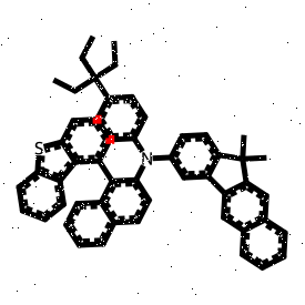 CCC(CC)(CC)c1ccc(N(c2ccc3c(c2)-c2cc4ccccc4cc2C3(C)C)c2ccc3ccccc3c2-c2cccc3sc4ccccc4c23)cc1